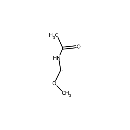 CO[CH]NC(C)=O